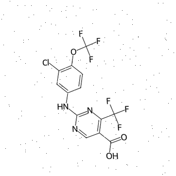 O=C(O)c1cnc(Nc2ccc(OC(F)(F)F)c(Cl)c2)nc1C(F)(F)F